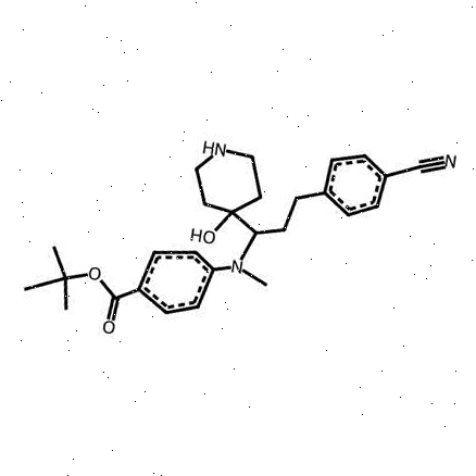 CN(c1ccc(C(=O)OC(C)(C)C)cc1)C(CCc1ccc(C#N)cc1)C1(O)CCNCC1